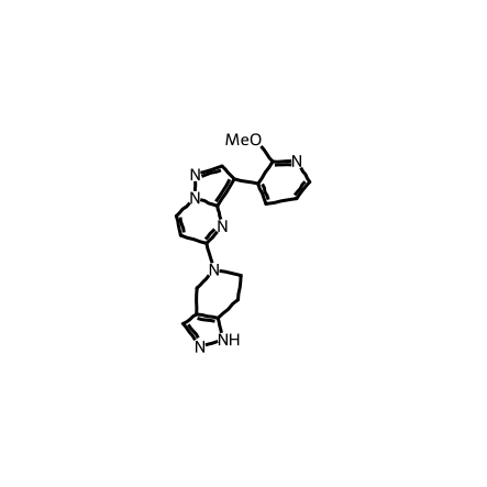 COc1ncccc1-c1cnn2ccc(N3CCc4[nH]ncc4C3)nc12